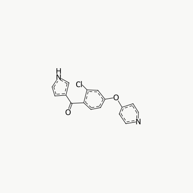 O=C(c1cc[nH]c1)c1ccc(Oc2ccncc2)cc1Cl